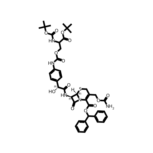 CC(C)(C)OC(=O)NC(COC(=O)Nc1ccc([C@@H](O)C(=O)N[C@@H]2C(=O)N3C(C(=O)OC(c4ccccc4)c4ccccc4)=C(COC(N)=O)CS[C@H]23)cc1)C(=O)OC(C)(C)C